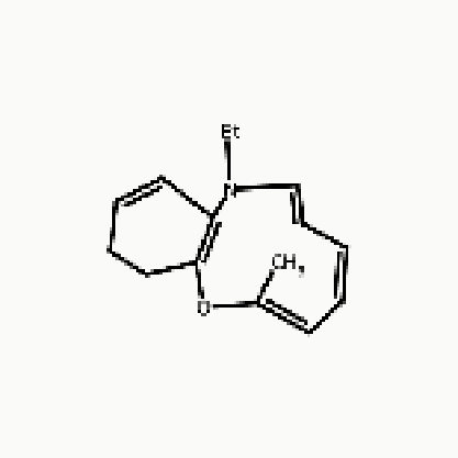 CCN1/C=C/C=C\C=C(/C)OC2=C1C=CCC2